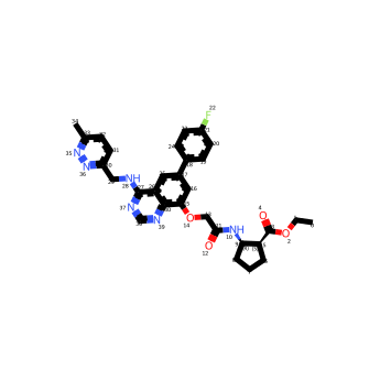 CCOC(=O)[C@H]1CCC[C@H]1NC(=O)COc1cc(-c2ccc(F)cc2)cc2c(NCc3ccc(C)nn3)ncnc12